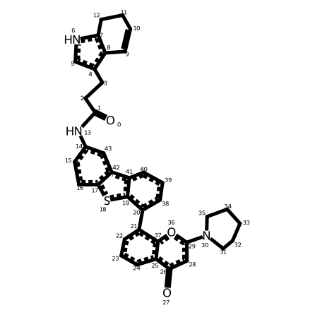 O=C(CCc1c[nH]c2c1C=CCC2)Nc1ccc2sc3c(-c4cccc5c(=O)cc(N6CCCCC6)oc45)cccc3c2c1